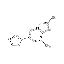 [CH2]Cc1cn2cc(-c3ccoc3)cc(C(F)(F)F)c2n1